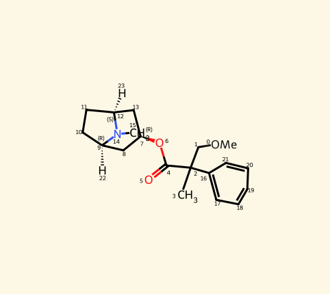 COCC(C)(C(=O)O[C@H]1C[C@H]2CC[C@@H](C1)N2C)c1ccccc1